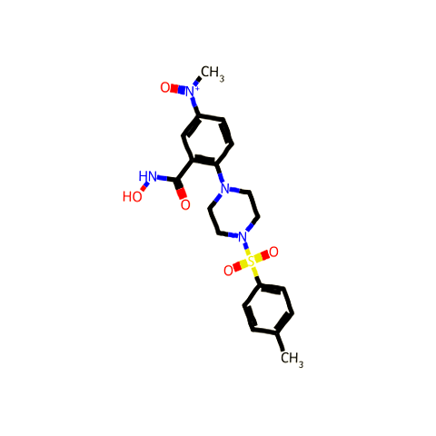 Cc1ccc(S(=O)(=O)N2CCN(c3ccc([N+](C)=O)cc3C(=O)NO)CC2)cc1